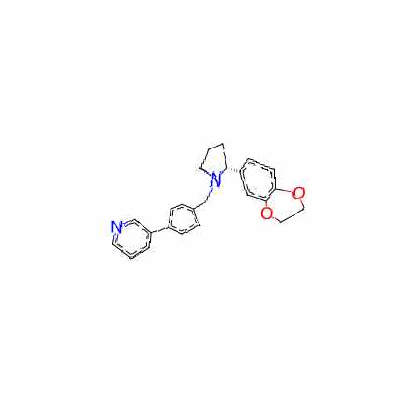 c1cncc(-c2ccc(CN3CCC[C@@H]3c3ccc4c(c3)OCCO4)cc2)c1